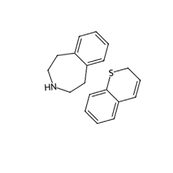 C1=Cc2ccccc2SC1.c1ccc2c(c1)CCNCC2